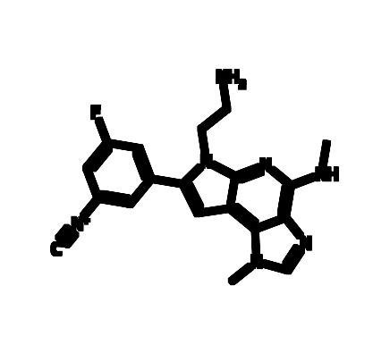 [C-]#[N+]c1cc(F)cc(-c2cc3c4c(ncn4C)c(NC)nc3n2CCN)c1